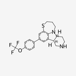 FC(F)(F)Oc1ccc(-c2cc3c4c(c2)[C@@H]2CNCC[C@@H]2N4CCCS3)cc1